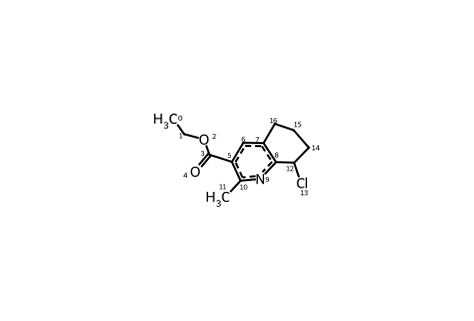 CCOC(=O)c1cc2c(nc1C)C(Cl)CCC2